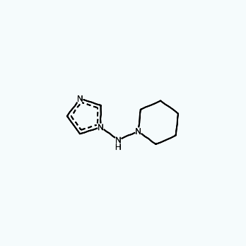 c1cn(NN2CCCCC2)cn1